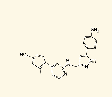 Cc1cc(C#N)ccc1-c1ccnc(NCc2cc(-c3ccc(N)cc3)[nH]n2)c1